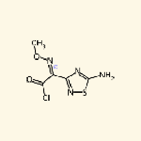 CO/N=C(\C(=O)Cl)c1nsc(N)n1